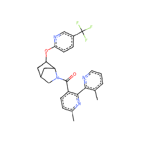 Cc1ccc(C(=O)N2CC3CC(Oc4ccc(C(F)(F)F)cn4)C2C3)c(-c2ncccc2C)n1